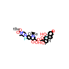 COc1c(N2CCN(C(=O)OC(C)(C)C)C(C)C2)c(F)cc2c(=O)c(C(=O)OCC(=O)[C@]3(O)[C@H](C)C[C@@H]4[C@H]5CCC6=CC(=O)C=C[C@@]6(C)[C@]5(F)[C@H](O)C[C@]43C)cn(C3CC3)c12